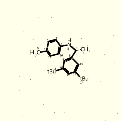 Cc1ccc(N[C@H](C)c2cc(C(C)(C)C)cc(C(C)(C)C)c2)cc1